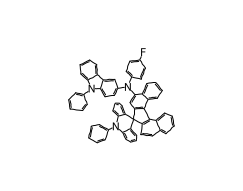 Fc1ccc(N(c2ccc3c(c2)c2ccccc2n3-c2ccccc2)c2cc3c(c4ccccc24)-c2c(ccc4ccccc24)C32c3ccccc3N(c3ccccc3)c3ccccc32)cc1